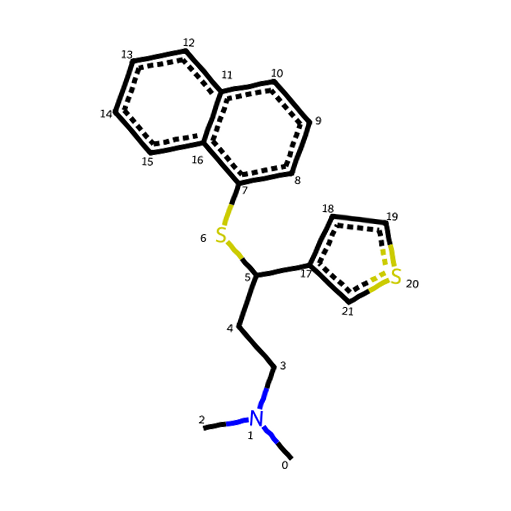 CN(C)CCC(Sc1cccc2ccccc12)c1ccsc1